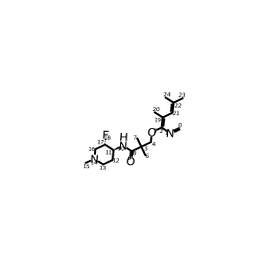 C=N/C(OCC(C)(C)C(=O)N[C@H]1CCN(C)C[C@@H]1F)=C(/C)C=C(C)C